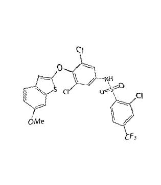 COc1ccc2cc(Oc3c(Cl)cc(NS(=O)(=O)c4ccc(C(F)(F)F)cc4Cl)cc3Cl)sc2c1